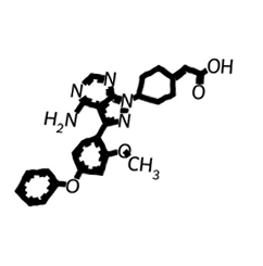 COc1cc(Oc2ccccc2)ccc1-c1nn(C2CCC(=CC(=O)O)CC2)c2ncnc(N)c12